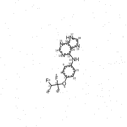 FC(F)C(F)(F)Oc1ccc(Nc2ncnc3[nH]cnc23)cc1